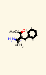 COC(=O)/C(Cc1ccccc1)=C(/C)N